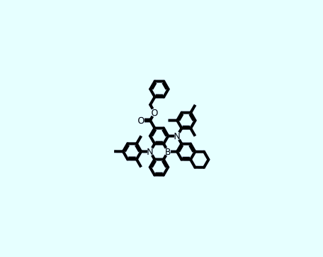 Cc1cc(C)c(N2c3ccccc3B3c4cc5c(cc4N(c4c(C)cc(C)cc4C)c4cc(C(=O)OCc6ccccc6)cc2c43)CCCC5)c(C)c1